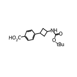 CC(C)(C)OC(=O)NC1CC(c2ccc(C(=O)O)cc2)C1